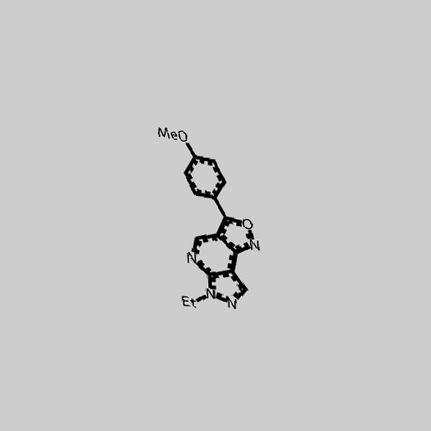 CCn1ncc2c3noc(-c4ccc(OC)cc4)c3cnc21